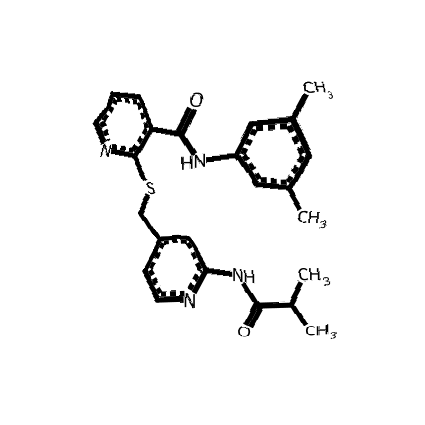 Cc1cc(C)cc(NC(=O)c2cccnc2SCc2ccnc(NC(=O)C(C)C)c2)c1